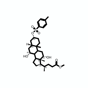 COC(=O)CC[C@@H](C)[C@H]1CCC2C3C(C[C@H](O)[C@@]21C)C1(C)CC[C@@H](OS(=O)(=O)c2ccc(C)cc2)C[C@H]1C[C@H]3O